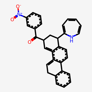 O=C(c1cccc([N+](=O)[O-])c1)C1C=c2c(ccc3c2=CCc2ccccc2-3)C(C2=CC=CC=CN2)C1